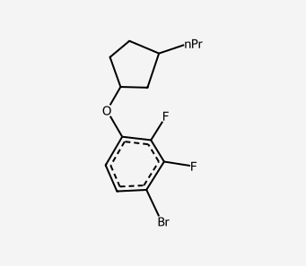 CCCC1CCC(Oc2ccc(Br)c(F)c2F)C1